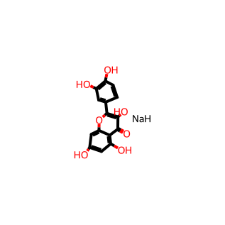 O=c1c(O)c(-c2ccc(O)c(O)c2)oc2cc(O)cc(O)c12.[NaH]